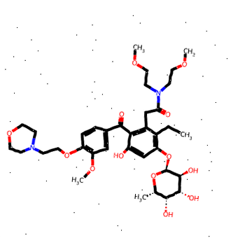 CCc1c(O[C@@H]2O[C@@H](C)[C@@H](O)[C@@H](O)[C@@H]2O)cc(O)c(C(=O)c2ccc(OCCN3CCOCC3)c(OC)c2)c1CC(=O)N(CCOC)CCOC